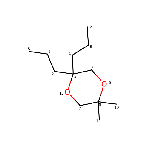 CCCC1(CCC)COC(C)(C)CO1